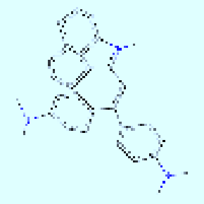 CN(C)c1ccc(C(=CC2=[N+](C)c3cccc4cccc2c34)c2ccc(N(C)C)cc2)cc1